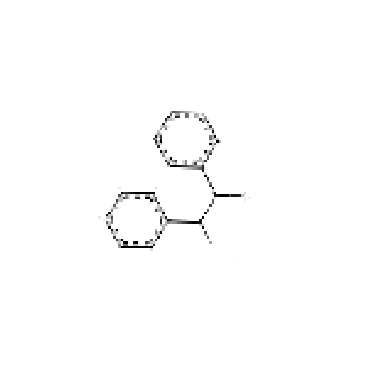 O=C(O)C(c1ccccc1)C(c1ccccc1)[N+](=O)[O-]